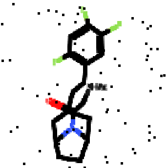 CC(=O)NCC(=O)N1C2CCC1CC(CCc1cc(F)c(F)cc1F)C2